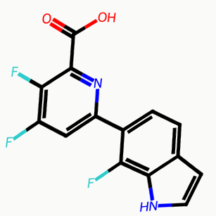 O=C(O)c1nc(-c2ccc3cc[nH]c3c2F)cc(F)c1F